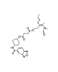 CCSS/C(CCOC(=O)CCC(=O)OC1CCC(N(C)C(=O)c2ccc3nonc3c2)CC1)=C(\C)N(C)C=O